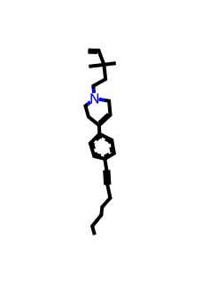 C=CC(C)(C)CCN1CC=C(c2ccc(C#CCCCCC)cc2)CC1